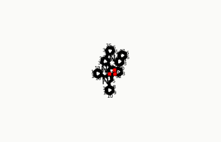 c1ccc(-c2cc(-c3ccccc3)nc(-c3ccccc3-n3c4ccccc4c4c3ccc3c5ccccc5n(-c5cccc6ccccc56)c34)c2)cc1